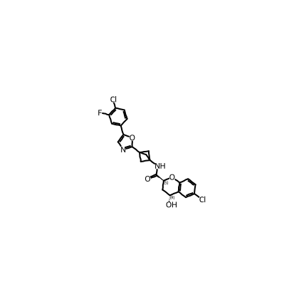 O=C(NC12CC(c3ncc(-c4ccc(Cl)c(F)c4)o3)(C1)C2)[C@@H]1C[C@@H](O)c2cc(Cl)ccc2O1